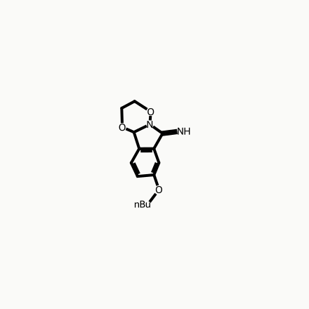 CCCCOc1ccc2c(c1)C(=N)N1OCCOC21